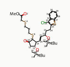 COC(=O)CSCCCSC1C(=O)C[C@@H](O[Si](C)(C)C(C)(C)C)C1C=CC(CCc1sc2ccccc2c1Cl)O[Si](C)(C)C(C)(C)C